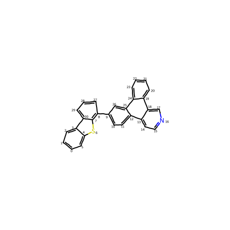 c1ccc2c(c1)sc1c(-c3ccc4c5ccncc5c5ccccc5c4c3)cccc12